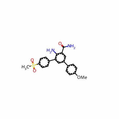 COc1ccc(-c2cc(C(N)=O)c(N)c(-c3ccc(S(C)(=O)=O)cc3)c2)cc1